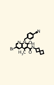 Cc1c(C(=O)NC2CC3(CCC3)C2)c(=O)n(Cc2ccc(C#N)cc2)c2ncc(Br)cc12